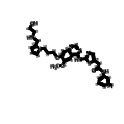 COc1cc2c(Nc3ncc(CC(=O)Nc4cccc(F)c4)s3)ncnc2cc1OCCCn1cccc1CNCCO